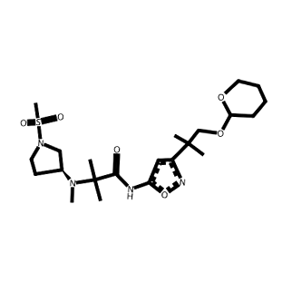 CN([C@H]1CCN(S(C)(=O)=O)C1)C(C)(C)C(=O)Nc1cc(C(C)(C)COC2CCCCO2)no1